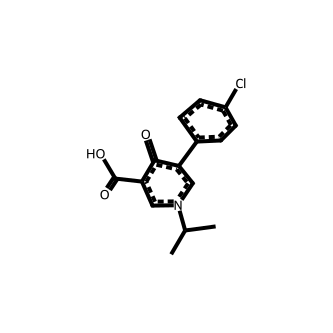 CC(C)n1cc(C(=O)O)c(=O)c(-c2ccc(Cl)cc2)c1